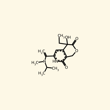 C=C(c1cc2c(c(=O)[nH]1)COC(=O)C2(O)CC)N(C)C(C)C